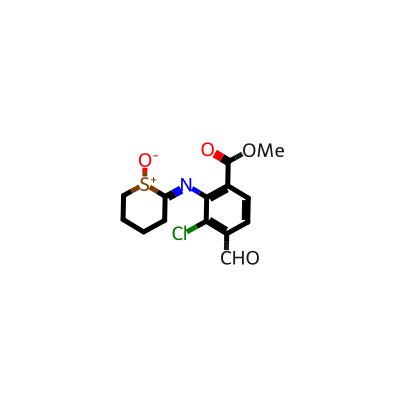 COC(=O)c1ccc(C=O)c(Cl)c1N=C1CCCC[S+]1[O-]